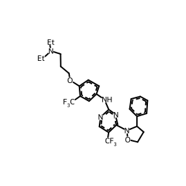 CCN(CC)CCCOc1ccc(Nc2ncc(C(F)(F)F)c(N3OCCC3c3ccccc3)n2)cc1C(F)(F)F